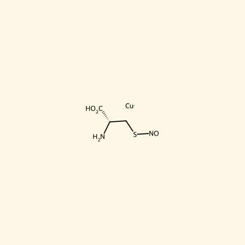 N[C@@H](CSN=O)C(=O)O.[Cu]